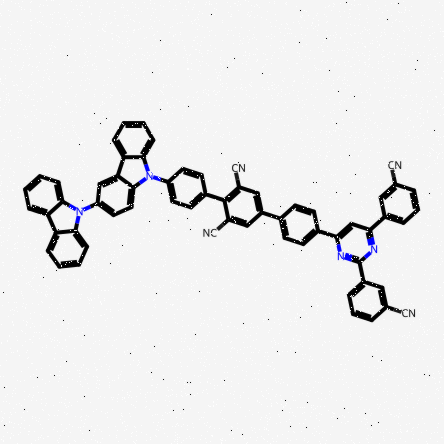 N#Cc1cccc(-c2cc(-c3ccc(-c4cc(C#N)c(-c5ccc(-n6c7ccccc7c7cc(-n8c9ccccc9c9ccccc98)ccc76)cc5)c(C#N)c4)cc3)nc(-c3cccc(C#N)c3)n2)c1